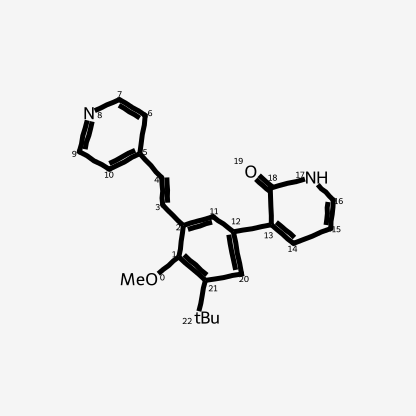 COc1c(/C=C/c2ccncc2)cc(-c2ccc[nH]c2=O)cc1C(C)(C)C